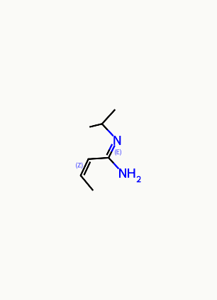 C/C=C\C(N)=N/C(C)C